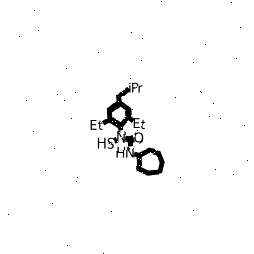 CCc1cc(CC(C)C)cc(CC)c1N(S)C(=O)NC1CCCCCC1